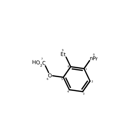 CCCc1cccc(OC(=O)O)c1CC